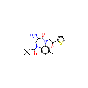 Cc1ccc2c(c1)N(CC(=O)c1cccs1)C(=O)C(N)CN2C(=O)CC(C)(C)C